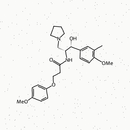 COc1ccc(OCCC(=O)N[C@H](CN2CCCC2)[C@H](O)c2ccc(OC)c(C)c2)cc1